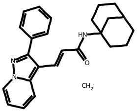 O=C(C=Cc1c(-c2ccccc2)nn2ccccc12)NC12CCCC(CCC1)C2.[CH2]